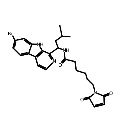 CC(C)CC(NC(=O)CCCCCN1C(=O)C=CC1=O)c1nccc2c1[nH]c1cc(Br)ccc12